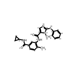 Cc1ccc(C(=O)NC2CC2)cc1NC(=O)c1cnc(Sc2ccccc2)n1C